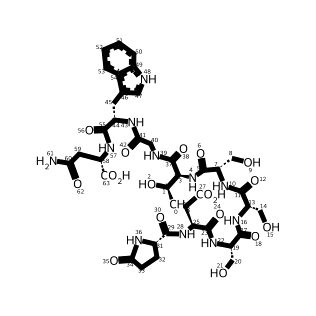 C[C@@H](O)[C@H](NC(=O)[C@H](CO)NC(=O)[C@H](CO)NC(=O)[C@H](CO)NC(=O)[C@H](CC(=O)O)NC(=O)[C@@H]1CCC(=O)N1)C(=O)NCC(=O)N[C@@H](Cc1c[nH]c2ccccc12)C(=O)N[C@@H](CC(N)=O)C(=O)O